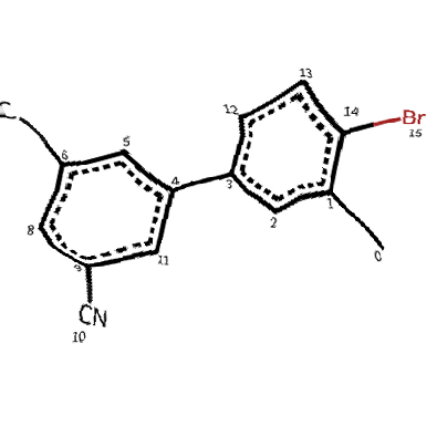 Cc1cc(-c2cc(C#N)cc(C#N)c2)ccc1Br